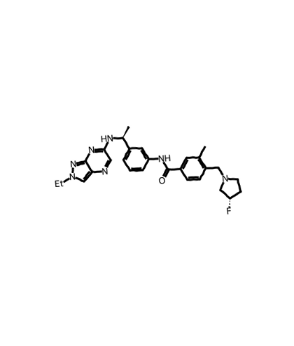 CCn1cc2ncc(N[C@@H](C)c3cccc(NC(=O)c4ccc(CN5CC[C@H](F)C5)c(C)c4)c3)nc2n1